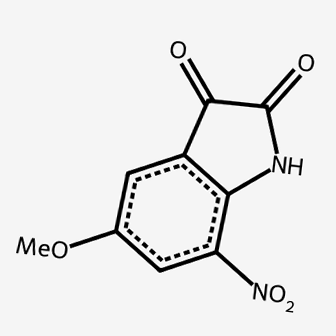 COc1cc2c(c([N+](=O)[O-])c1)NC(=O)C2=O